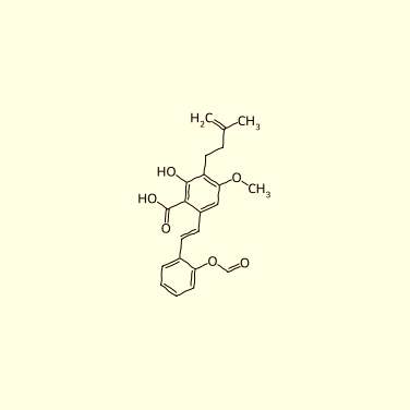 C=C(C)CCc1c(OC)cc(/C=C/c2ccccc2OC=O)c(C(=O)O)c1O